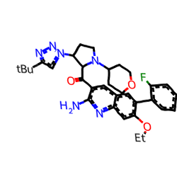 CCOc1cc2nc(N)c(C(=O)C3C(n4cc(C(C)(C)C)nn4)CCN3C3CCOCC3)cc2cc1-c1ccccc1F